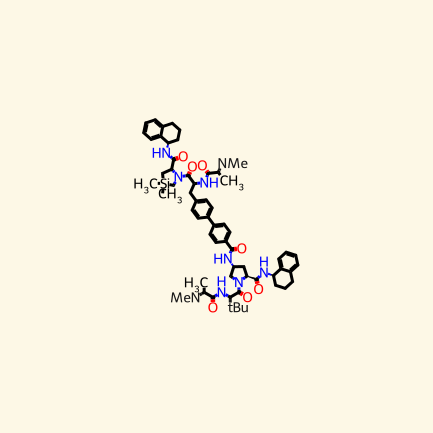 CNC(C)C(=O)NC(Cc1ccc(-c2ccc(C(=O)N[C@H]3C[C@@H](C(=O)N[C@@H]4CCCc5ccccc54)N(C(=O)C(NC(=O)C(C)NC)C(C)(C)C)C3)cc2)cc1)C(=O)N1C[Si](C)(C)CC1C(=O)N[C@@H]1CCCc2ccccc21